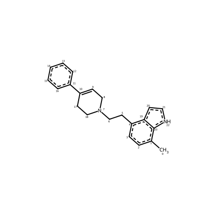 Cc1ccc(CCN2CC=C(c3ccccc3)CC2)c2cc[nH]c12